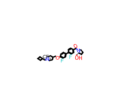 O=C(c1ccc(-c2ccc(OCC3CCN(CC4(C(F)(F)F)CCC4)CC3)c(F)c2)c(F)c1)N1CCC[C@@H]1CO